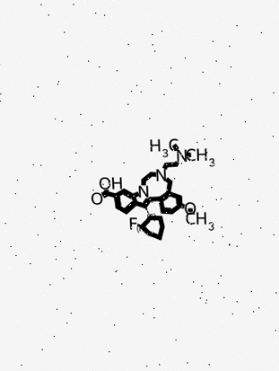 COc1ccc2c(c1)CN(CCN(C)C)CCn1c-2c([C@@H]2CCCC[C@H]2F)c2ccc(C(=O)O)cc21